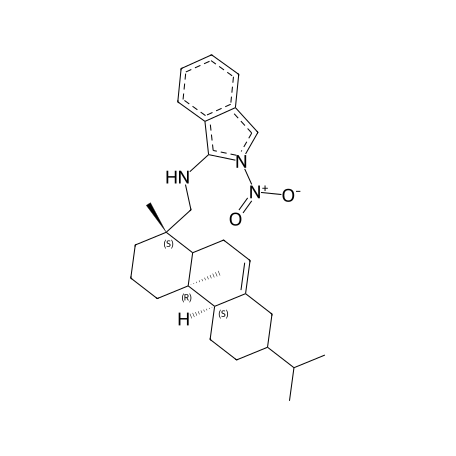 CC(C)C1CC[C@@H]2C(=CCC3[C@@](C)(CNc4c5ccccc5cn4[N+](=O)[O-])CCC[C@@]32C)C1